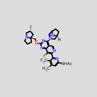 CC(=O)Nc1cc(C)c(C(F)(F)F)c(-c2ncc3c(N4CC5CC[C@@H](C4)N5)nc(OC[C@@]45CCCN4C[C@H](F)C5)nc3c2F)n1